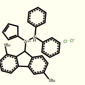 CC(C)(C)c1ccc2c(c1)-c1cccc(C(C)(C)C)c1[CH]2[Zr+2]([C]1=CC=CC1)[SiH](c1ccccc1)c1ccccc1.[Cl-].[Cl-]